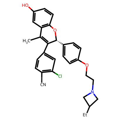 CCC1CN(CCOc2ccc([C@H]3Oc4ccc(O)cc4C(C)=C3c3ccc(C#N)c(Cl)c3)cc2)C1